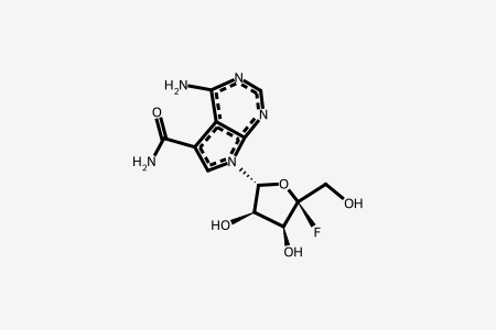 NC(=O)c1cn([C@@H]2O[C@](F)(CO)[C@@H](O)[C@H]2O)c2ncnc(N)c12